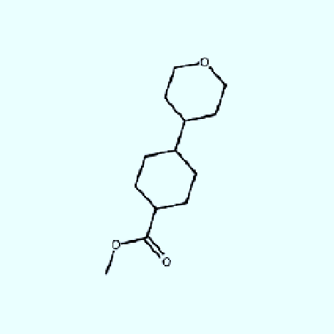 COC(=O)C1CCC(C2CCOCC2)CC1